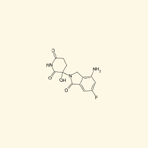 Nc1cc(F)cc2c1CN(C1(O)CCC(=O)NC1=O)C2=O